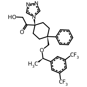 C[C@@H](OC[C@]1(c2ccccc2)CC[C@](C(=O)CO)(n2cnnc2)CC1)c1cc(C(F)(F)F)cc(C(F)(F)F)c1